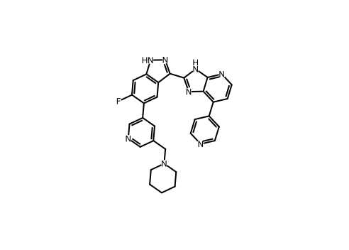 Fc1cc2[nH]nc(-c3nc4c(-c5ccncc5)ccnc4[nH]3)c2cc1-c1cncc(CN2CCCCC2)c1